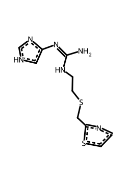 NC(=Nc1c[nH]cn1)NCCSCc1nccs1